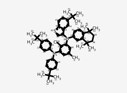 Cc1cc(N(c2ccc(C(C)(C)C)cc2)c2ccc(C(C)(C)C)cc2)c(Cl)c(N(c2ccc3c(c2)C(C)(C)CCC3(C)C)c2csc3ccc(C(C)(C)C)cc23)c1